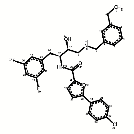 CCc1cccc(CNC[C@H](O)[C@H](Cc2cc(F)cc(F)c2)NC(=O)c2ccc(-c3ccc(Cl)cc3)o2)c1